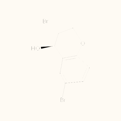 O[C@@H]1c2cc(Br)ccc2OC[C@H]1Br